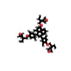 CCC(COc1cc(C)c(C(CC(c2cc(C)c(OCC(CC)C3COC3)cc2C)c2cc(C)c(OCC(CC)C3COC3)cc2C)c2ccccc2)cc1C)C1COC1